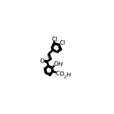 O=C(O)c1cccc(C(=O)/C=C/c2ccc(Cl)c(Cl)c2)c1O